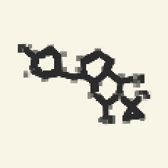 N#CC1(N2C(O)N=C3C(=CC=CN3Cc3ccc(Cl)nc3)C2O)CC1